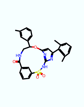 Cc1cccc(C2CNC(=O)c3cccc(c3)S(=O)(=O)Nc3nc(cc(-c4c(C)cccc4C)n3)O2)c1